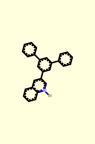 CC[n+]1cc(-c2cc(-c3ccccc3)cc(-c3ccccc3)c2)cc2ccccc21